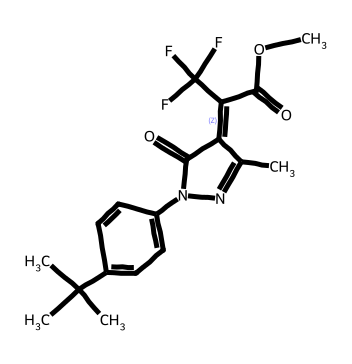 COC(=O)/C(=C1/C(=O)N(c2ccc(C(C)(C)C)cc2)N=C1C)C(F)(F)F